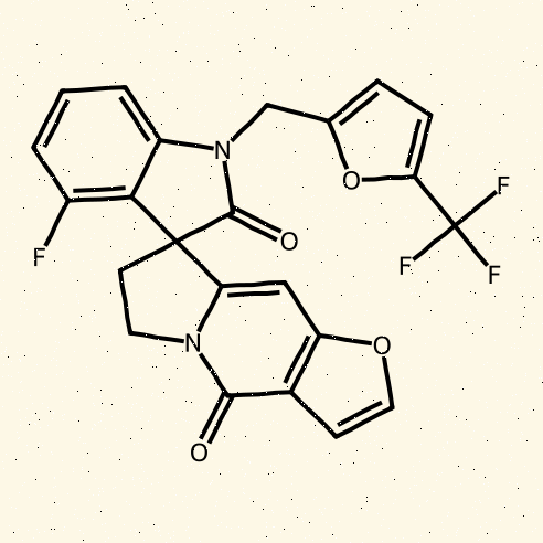 O=C1N(Cc2ccc(C(F)(F)F)o2)c2cccc(F)c2C12CCn1c2cc2occc2c1=O